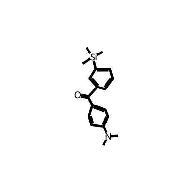 CN(C)c1ccc(C(=O)c2cccc([Si](C)(C)C)c2)cc1